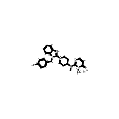 CCOC(=O)n1c(N(C)C2CCN(c3nc4ccccc4n3Cc3ccc(F)cc3)CC2)nccc1=O